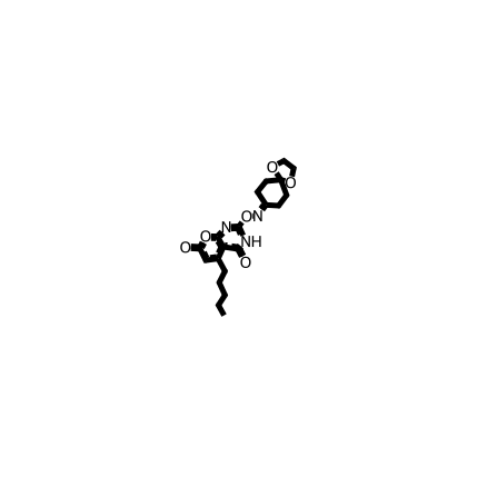 CCCCCc1cc(=O)oc2nc(ON=C3CCC4(CC3)OCCO4)[nH]c(=O)c12